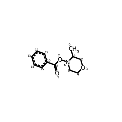 CC1COCCN1OC(=O)c1ccccc1